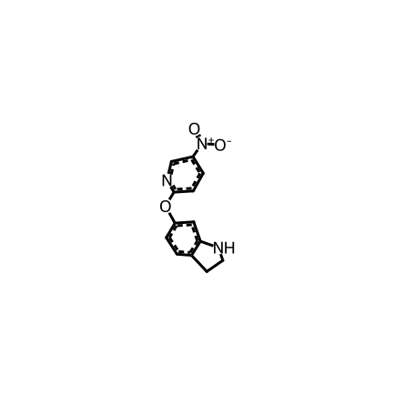 O=[N+]([O-])c1ccc(Oc2ccc3c(c2)NCC3)nc1